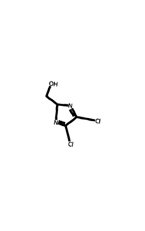 OCC1N=C(Cl)C(Cl)=N1